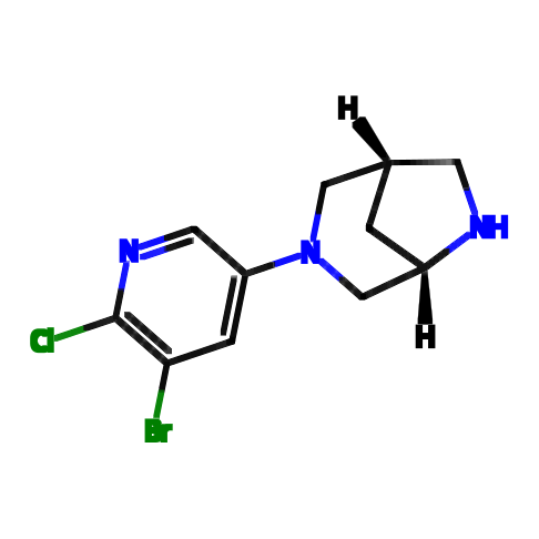 Clc1ncc(N2C[C@@H]3CN[C@@H](C3)C2)cc1Br